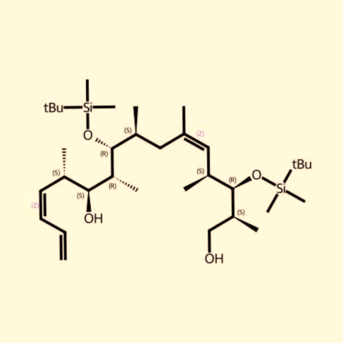 C=C/C=C\[C@H](C)[C@H](O)[C@@H](C)[C@H](O[Si](C)(C)C(C)(C)C)[C@@H](C)C/C(C)=C\[C@H](C)[C@@H](O[Si](C)(C)C(C)(C)C)[C@@H](C)CO